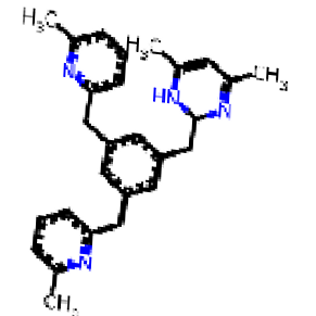 CC1=CC(C)=NC(Cc2cc(Cc3cccc(C)n3)cc(Cc3cccc(C)n3)c2)N1